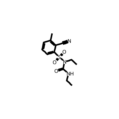 CCNC(=O)N(CC)S(=O)(=O)c1cccc(C)c1C#N